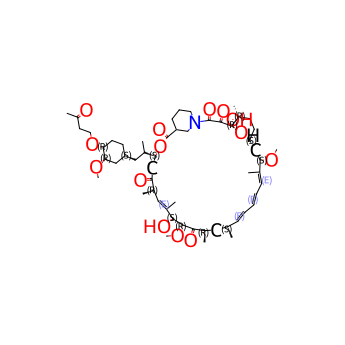 CO[C@H]1C[C@@H]2CC[C@@H](C)[C@@](O)(O2)C(=O)C(=O)N2CCCC(C2)C(=O)O[C@H](C(C)C[C@@H]2CC[C@@H](OCCC(C)=O)[C@H](OC)C2)CC(=O)[C@H](C)/C=C(\C)[C@H](O)[C@@H](OC)C(=O)[C@H](C)C[C@H](C)/C=C/C=C/C=C/1C